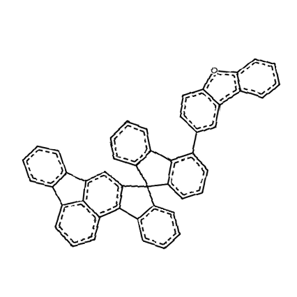 c1ccc2c(c1)-c1cccc3c4c(cc-2c13)C1(c2ccccc2-c2c(-c3ccc5oc6ccccc6c5c3)cccc21)c1ccccc1-4